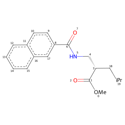 COC(=O)[C@H](CNC(=O)c1ccc2ccccc2c1)CC(C)C